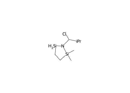 CC(C)C(Cl)N1[SiH2]CC[Si]1(C)C